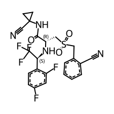 N#Cc1ccccc1CS(=O)(=O)C[C@H](N[C@@H](c1ccc(F)cc1F)C(F)(F)F)C(=O)NC1(C#N)CC1